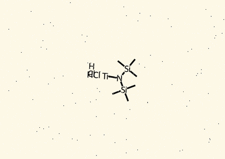 C[Si](C)(C)[N]([Ti])[Si](C)(C)C.Cl.Cl